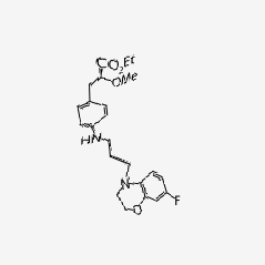 CCOC(=O)[C@H](Cc1ccc(NCCCN2CCOc3cc(F)ccc32)cc1)OC